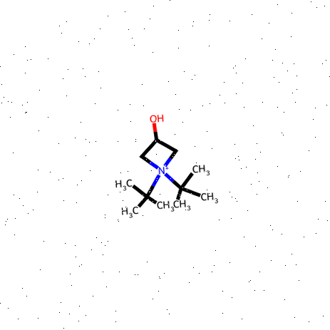 CC(C)(C)[N+]1(C(C)(C)C)CC(O)C1